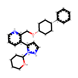 c1ccc([C@H]2CC[C@@H](OCc3ncccc3-c3ccnn3C3CCCCO3)CC2)cc1